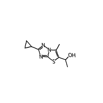 Cc1c(C(C)O)sc2nc(C3CC3)nn12